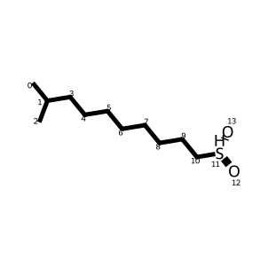 CC(C)CCCCCCCC[SH](=O)=O